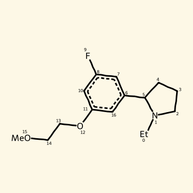 CCN1CCCC1c1cc(F)cc(OCCOC)c1